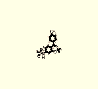 CC1(C)N=C(c2ccc(C(F)(F)F)cc2)c2ccc(NS(C)(=O)=O)cc2O1